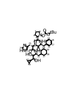 CC(C)(C)OC(=O)ON1CCC[C@@H]1C(=O)N[C@@H](Cc1ccccc1)C(=O)N[C@@H](Cc1c[nH]cn1)C(=O)N[C@@H](CC1CCCCC1)[C@@H](O)[C@@H](O)C1CC1